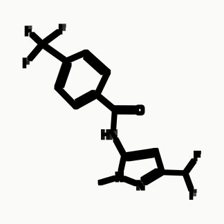 Cn1nc(C(F)F)cc1NC(=O)c1ccc(C(F)(F)F)cc1